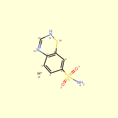 NS(=O)(=O)c1ccc2c(c1)SNC=N2.[H+]